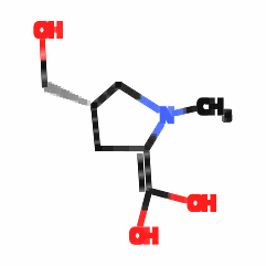 CN1C[C@@H](CO)CC1=C(O)O